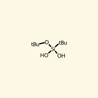 CC(C)(C)O[Si](O)(O)C(C)(C)C